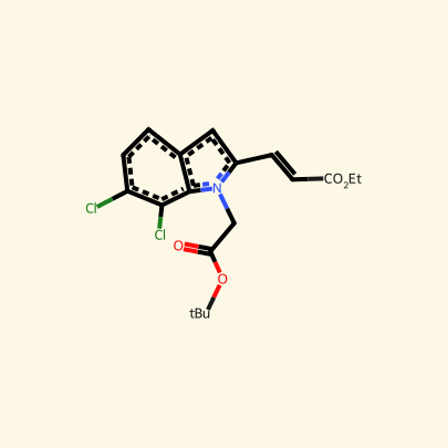 CCOC(=O)/C=C/c1cc2ccc(Cl)c(Cl)c2n1CC(=O)OC(C)(C)C